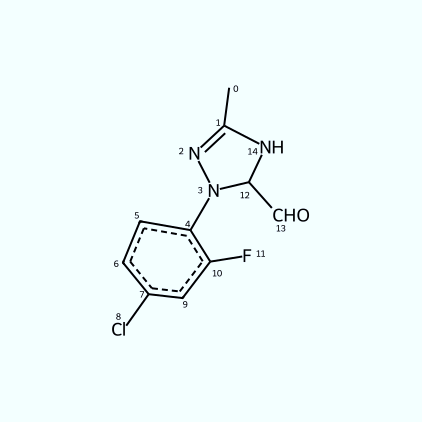 CC1=NN(c2ccc(Cl)cc2F)C(C=O)N1